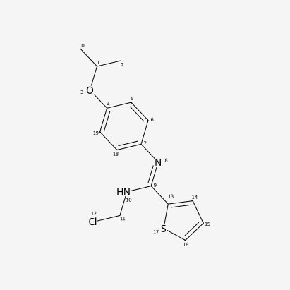 CC(C)Oc1ccc(N=C(NCCl)c2cccs2)cc1